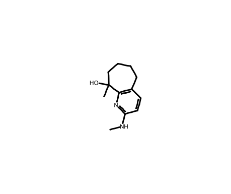 CNc1ccc2c(n1)C(C)(O)CCCC2